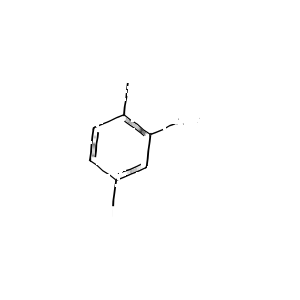 CC(=O)Nc1cc(I)ccc1C